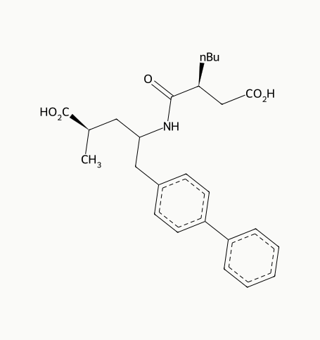 CCCC[C@@H](CC(=O)O)C(=O)NC(Cc1ccc(-c2ccccc2)cc1)C[C@@H](C)C(=O)O